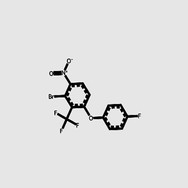 O=[N+]([O-])c1ccc(Oc2ccc(F)cc2)c(C(F)(F)F)c1Br